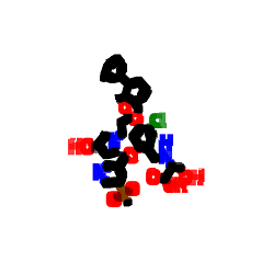 CC1C(c2ccccc2)=CC=CC1(COc1cc(OCc2cncc(S(C)(=O)=O)c2)c(CNC(CO)C(=O)O)cc1Cl)OCCCN1CC[C@@H](O)C1